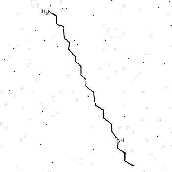 CCCCNCCCCCCCCCCCCCCCCCCN